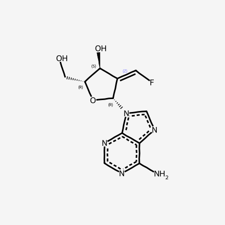 Nc1ncnc2c1ncn2[C@@H]1O[C@H](CO)[C@@H](O)/C1=C/F